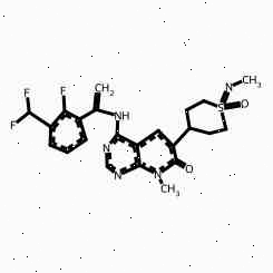 C=C(Nc1ncnc2c1cc(C1CCS(=O)(=NC)CC1)c(=O)n2C)c1cccc(C(F)F)c1F